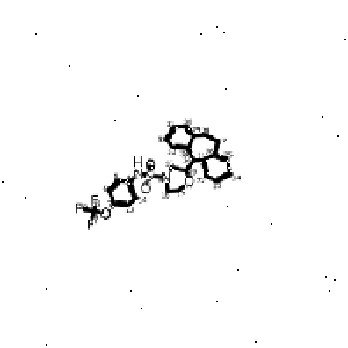 O=S(=O)(Nc1ccc(OC(F)(F)F)cc1)N1CCOC(C2c3ccccc3CCc3ccccc32)C1